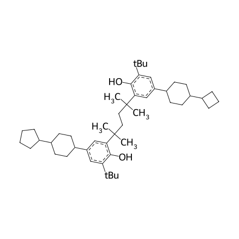 CC(C)(C)c1cc(C2CCC(C3CCCC3)CC2)cc(C(C)(C)CCC(C)(C)c2cc(C3CCC(C4CCC4)CC3)cc(C(C)(C)C)c2O)c1O